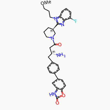 COCCCn1c([C@@H]2CCCN(C(=O)C[C@H](N)Cc3ccc(-c4ccc5oc(=O)[nH]c5c4)cc3)C2)nc2c(F)cccc21